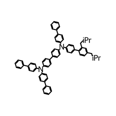 CC(C)Cc1ccc(-c2ccc(N(c3ccc(-c4ccccc4)cc3)c3ccc(-c4ccc(N(c5ccc(-c6ccccc6)cc5)c5ccc(-c6ccccc6)cc5)cc4)cc3)cc2)c(CC(C)C)c1